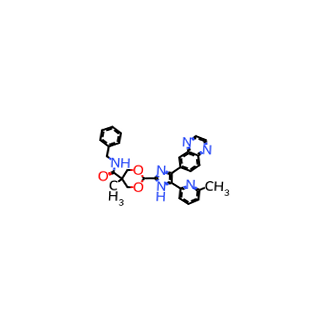 Cc1cccc(-c2[nH]c(C3OCC(C)(C(=O)NCc4ccccc4)CO3)nc2-c2ccc3nccnc3c2)n1